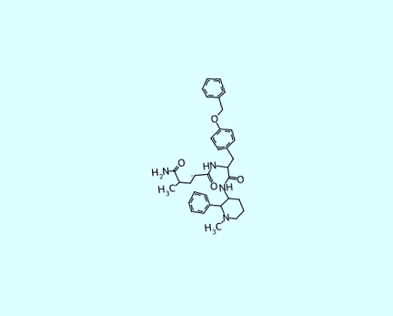 CC(C[CH]C(=O)NC(Cc1ccc(OCc2ccccc2)cc1)C(=O)NC1CCCN(C)C1c1ccccc1)C(N)=O